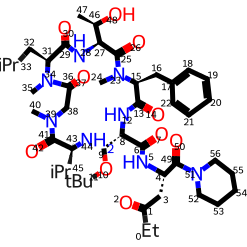 CCC(=O)C[C@H](NC(=O)[C@H](COC(C)(C)C)NC(=O)[C@H](Cc1ccccc1)N(C)C(=O)[C@@H](NC(=O)[C@H](CC(C)C)N(C)C(=O)CN(C)C(=O)[C@@H](N)C(C)C)[C@@H](C)O)C(=O)N1CCCCC1